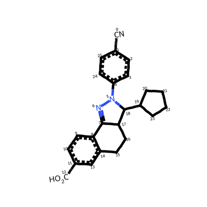 N#Cc1ccc(N2N=C3c4ccc(C(=O)O)cc4CCC3C2C2CCCC2)cc1